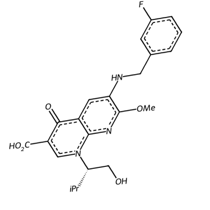 COc1nc2c(cc1NCc1cccc(F)c1)c(=O)c(C(=O)O)cn2[C@H](CO)C(C)C